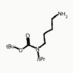 CCCN(CCCCN)C(=O)OC(C)(C)C